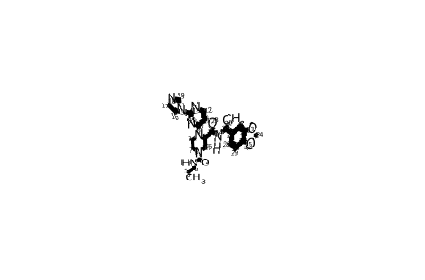 CCCNC(=O)N1CCN(c2ccnc(-n3ccnc3)n2)C(C(=O)NC(C)c2ccc3c(c2)OCO3)C1